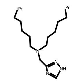 CC(C)CCCCCN(CCCCCC(C)C)Cc1nc[nH]n1